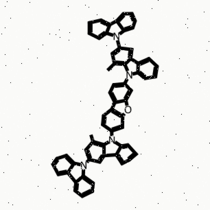 Cc1cc(-n2c3ccccc3c3ccccc32)cc2c3ccccc3n(-c3ccc4c(c3)oc3cc(-n5c6ccccc6c6cc(-n7c8ccccc8c8ccccc87)cc(C)c65)ccc34)c12